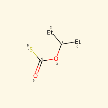 CCC(CC)OC(=O)[S]